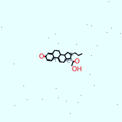 CCC[C@@H]1CC2C3CCC4=CC(=O)C=C[C@]4(C)C3=CC[C@]2(C)[C@H]1C(=O)CO